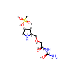 CS(=O)(=O)O[C@H]1CN[C@H](COCC(=O)NC(N)=O)C1